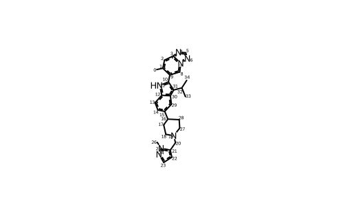 Cc1cc2ncnn2cc1-c1[nH]c2ccc(C3CCN(Cc4ccnn4C)CC3)cc2c1C(C)C